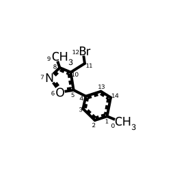 Cc1ccc(-c2onc(C)c2CBr)cc1